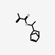 C=C(C)C(=O)OC(C)C1CC2C=CC1C2